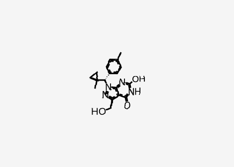 Cc1ccc([C@H](n2nc(CO)c3c(=O)[nH]c(O)nc32)C2(C)CC2)cc1